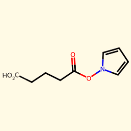 O=C(O)CCCC(=O)On1cccc1